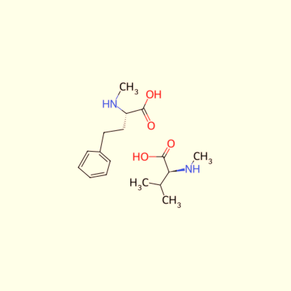 CN[C@@H](CCc1ccccc1)C(=O)O.CN[C@H](C(=O)O)C(C)C